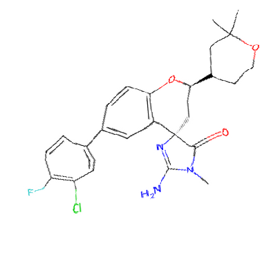 CN1C(=O)[C@@]2(C[C@H](C3CCOC(C)(C)C3)Oc3ccc(-c4ccc(F)c(Cl)c4)cc32)N=C1N